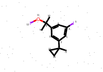 CC1(c2cc(I)cc(C(C)(C)OI)c2)CC1